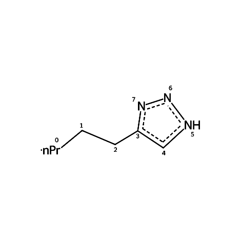 CC[CH]CCc1c[nH]nn1